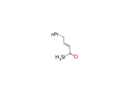 CCCCC=CC(=O)[SiH3]